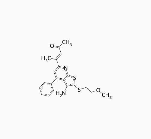 COCCSc1sc2nc(/C(C)=C/C(C)=O)cc(-c3ccccc3)c2c1N